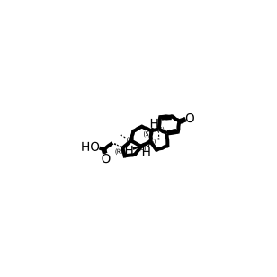 C[C@]12CC[C@H]3[C@@H](CCC4=CC(=O)C=C[C@@]43C)[C@@H]1CC[C@@H]2CC(=O)O